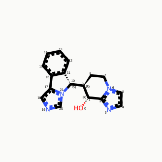 O[C@H]1c2nccn2CC[C@@H]1[C@H]1c2ccccc2-c2cncn21